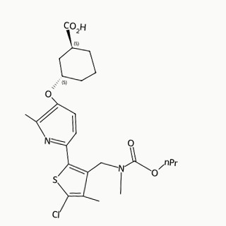 CCCOC(=O)N(C)Cc1c(-c2ccc(O[C@H]3CCC[C@H](C(=O)O)C3)c(C)n2)sc(Cl)c1C